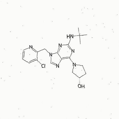 CC(C)(C)Nc1nc(N2CC[C@H](O)C2)c2ncn(Cc3ncccc3Cl)c2n1